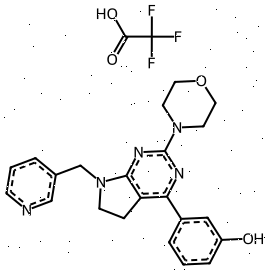 O=C(O)C(F)(F)F.Oc1cccc(-c2nc(N3CCOCC3)nc3c2CCN3Cc2cccnc2)c1